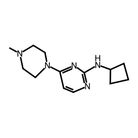 CN1CCN(c2ccnc(NC3CCC3)n2)CC1